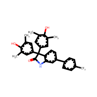 Cc1cc(C2(c3cc(C)c(O)c(C)c3)C(=O)Nc3cc(-c4ccc(C(F)(F)F)cc4)ccc32)cc(C)c1O